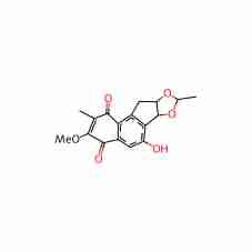 COC1=C(C)C(=O)c2c(cc(O)c3c2CC2OC(C)OC32)C1=O